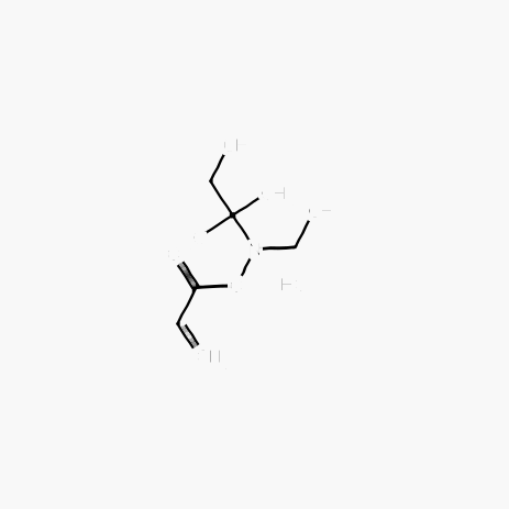 C=CC(=O)ON(CC)C(C)(C)CC.Cl